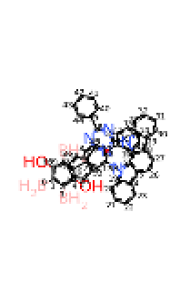 Bc1c(B)c(O)c(-c2ccc(-c3ccccc3)c(-n3c4ccccc4c4ccc5c6ccccc6n(-c6nc(-c7ccccc7)nc(-c7ccccc7)n6)c5c43)c2)c(B)c1O